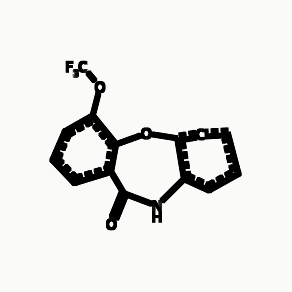 O=C1Nc2ccccc2Oc2c(OC(F)(F)F)cccc21